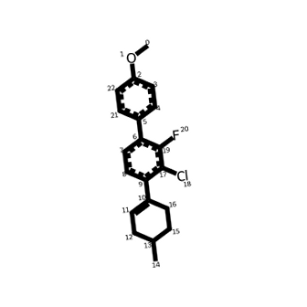 COc1ccc(-c2ccc(C3=CCC(C)CC3)c(Cl)c2F)cc1